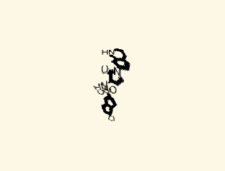 O=C1[C@@H](NS(=O)(=O)c2ccc3cc(Cl)ccc3c2)CCN1c1ccc2c(c1)CNCCC2